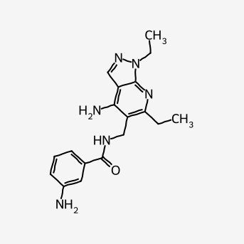 CCc1nc2c(cnn2CC)c(N)c1CNC(=O)c1cccc(N)c1